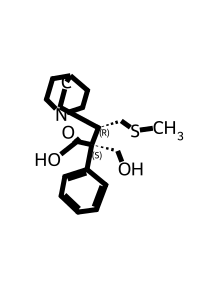 CSC[C@@H](C1CC2CCN1CC2)[C@](CO)(C(=O)O)c1ccccc1